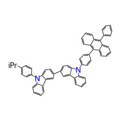 CC(C)c1ccc(-n2c3ccccc3c3cc(-c4ccc5c(c4)c4ccccc4n5-c4ccc(-c5c6ccccc6c(-c6ccccc6)c6ccccc56)cc4)ccc32)cc1